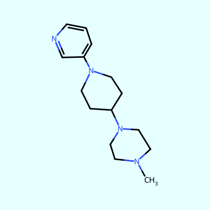 CN1CCN(C2CCN(c3cccnc3)CC2)CC1